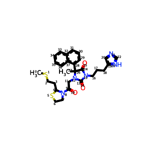 CSCCC1SCCN1C(=O)CN1C(=O)N(CCCc2cnc[nH]2)C(=O)C1(C)c1cccc2ccccc12